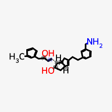 Cc1cccc(C[C@H](O)/C=C/[C@@H]2[C@H]3CC(CCc4cccc(CN)c4)=C[C@H]3C[C@H]2O)c1